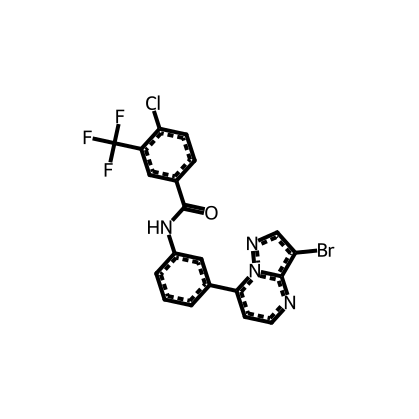 O=C(Nc1cccc(-c2ccnc3c(Br)cnn23)c1)c1ccc(Cl)c(C(F)(F)F)c1